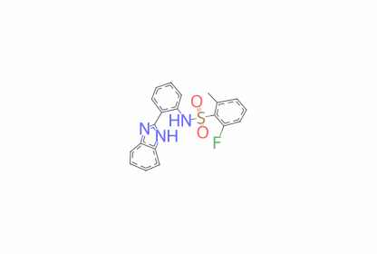 Cc1cccc(F)c1S(=O)(=O)Nc1ccccc1-c1nc2ccccc2[nH]1